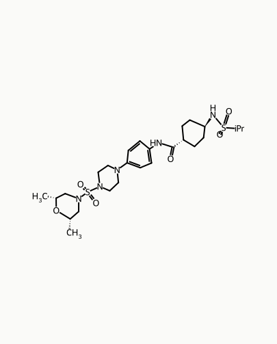 CC(C)S(=O)(=O)N[C@H]1CC[C@H](C(=O)Nc2ccc(N3CCN(S(=O)(=O)N4C[C@@H](C)O[C@@H](C)C4)CC3)cc2)CC1